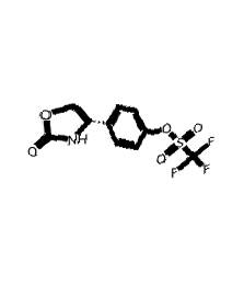 O=C1N[C@@H](c2ccc(OS(=O)(=O)C(F)(F)F)cc2)CO1